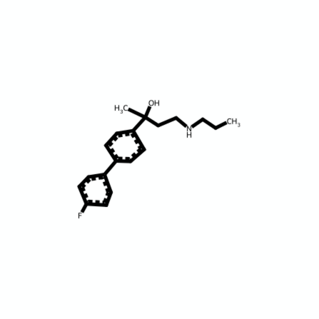 CCCNCCC(C)(O)c1ccc(-c2ccc(F)cc2)cc1